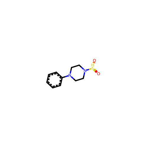 O=[SH](=O)N1CCN(c2ccccc2)CC1